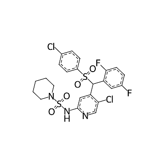 O=S(=O)(c1ccc(Cl)cc1)C(c1cc(F)ccc1F)c1cc(NS(=O)(=O)N2CCCCC2)ncc1Cl